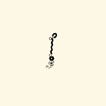 COC(=O)Oc1ccc(OCCCCCCCC(=O)N2CCCCC2)cc1